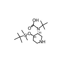 CC(C)(C)N(C(=O)O)[C@@H]1CNCC[C@H]1O[Si](C)(C)C(C)(C)C